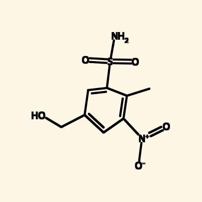 Cc1c([N+](=O)[O-])cc(CO)cc1S(N)(=O)=O